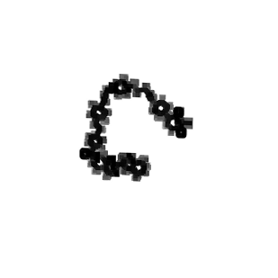 O=C1CCC(c2ccc(C#CCCCN3CCN(CC#Cc4ccc(/C=C/c5ccc(C(=O)N6CCc7cnc(-c8cnc9ccccc9c8)nc7C6)cc5)cc4)CC3)cc2)C(=O)N1